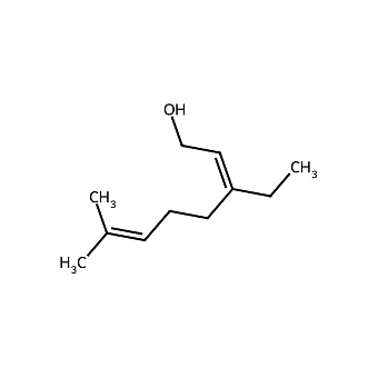 CCC(=CCO)CCC=C(C)C